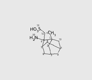 CC12CC3CC(CC(C3)C1(N)CS(=O)(=O)O)C2